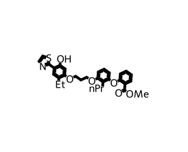 CCCc1c(OCCCOc2cc(O)c(-c3nccs3)cc2CC)cccc1Oc1ccccc1C(=O)OC